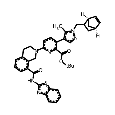 Cc1c(-c2ccc(N3CCc4cccc(C(=O)Nc5nc6ccccc6s5)c4C3)nc2C(=O)OC(C)(C)C)cnn1C[C@@H]1C[C@@H]2C=C[C@H]1C2